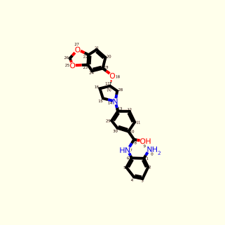 Nc1ccccc1NC(O)c1ccc(N2CC[C@H](Oc3ccc4c(c3)OCO4)C2)cc1